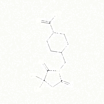 CCC1(C(C)C)CC(=O)N(CC2CCC(C(=O)C(C)(C)C)CC2)C1=O